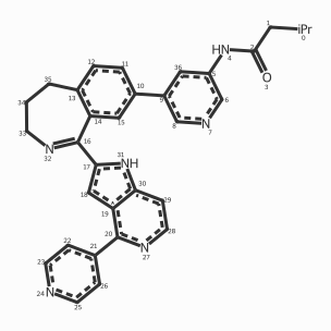 CC(C)CC(=O)Nc1cncc(-c2ccc3c(c2)C(c2cc4c(-c5ccncc5)nccc4[nH]2)=NCCC3)c1